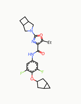 CCc1oc(N2CC3CCC3C2)nc1C(=O)Nc1cc(F)c(OC2CC3CC3C2)c(F)c1